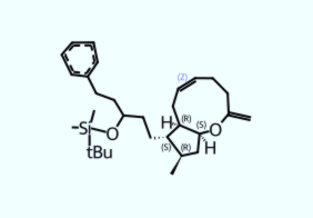 C=C1CC/C=C\C[C@@H]2[C@@H](CCC(CCc3ccccc3)O[Si](C)(C)C(C)(C)C)[C@H](C)C[C@@H]2O1